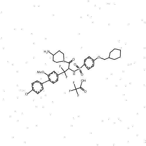 COc1cc(C(F)(F)C(NS(=O)(=O)c2ccc(OCC3CCCCC3)cc2)C(=O)N2CCC(N)CC2)ccc1-c1ccc(Cl)cc1.O=C(O)C(F)(F)F